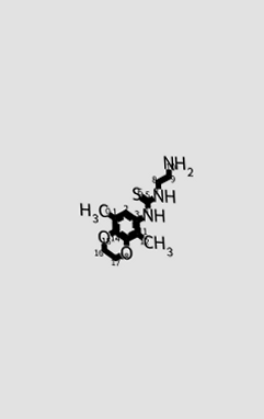 Cc1cc(NC(=S)NCCN)c(C)c2c1OCCO2